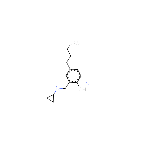 COCCCc1ccc(C)c(CNC2CC2)c1.N